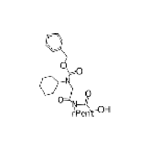 CCCCCN(C(=O)CO)C(=O)CN(C(=O)OCc1ccccc1)C1CCCCC1